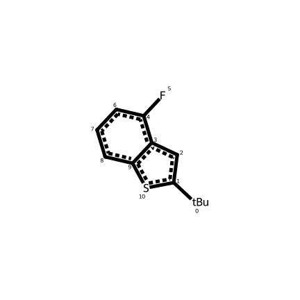 CC(C)(C)c1cc2c(F)cccc2s1